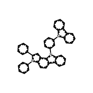 c1ccc(-c2cc3c(ccc4c5ccccc5n(-c5cccc(-n6c7ccccc7c7ccccc76)c5)c43)n2-c2ccccc2)cc1